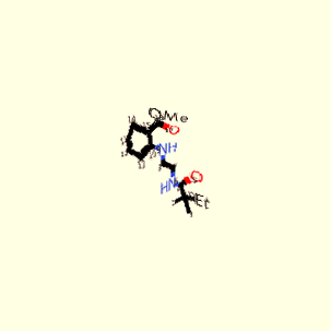 CCC(C)(C)C(=O)NCCNc1ccccc1C(=O)OC